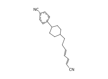 N#CC=CC=CCCC1CCC(c2ccc(C#N)cc2)CC1